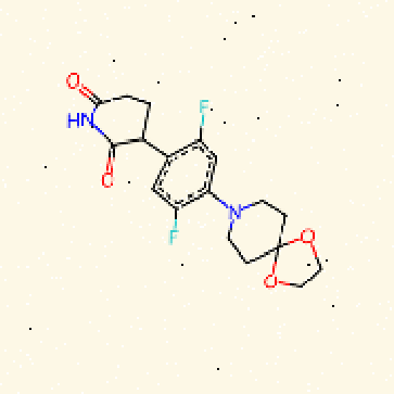 O=C1CCC(c2cc(F)c(N3CCC4(CC3)OCCO4)cc2F)C(=O)N1